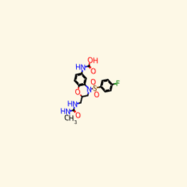 CNC(=O)NCC1CN(S(=O)(=O)c2ccc(F)cc2)c2cc(NC(=O)O)ccc2O1